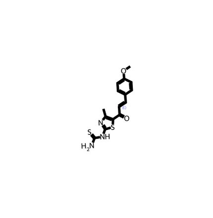 COc1ccc(/C=C/C(=O)c2sc(NC(N)=S)nc2C)cc1